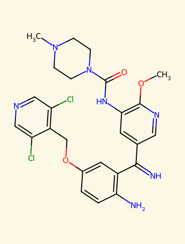 COc1ncc(C(=N)c2cc(OCc3c(Cl)cncc3Cl)ccc2N)cc1NC(=O)N1CCN(C)CC1